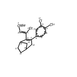 CCC(=NOC)C1=C(c2ccc(Cl)c(Cl)c2)CC2CCC1C2